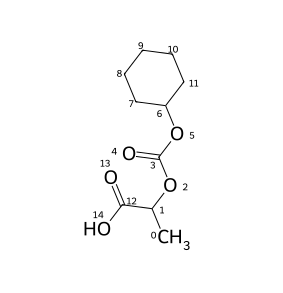 CC(OC(=O)OC1CCCCC1)C(=O)O